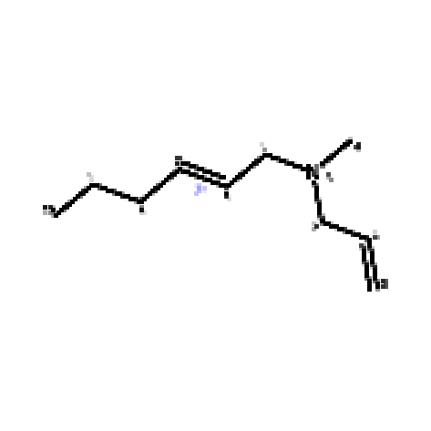 C=CCN(C)C/C=C/CCC